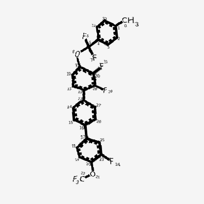 Cc1ccc(C(F)(F)Oc2ccc(-c3ccc(-c4ccc(OC(F)(F)F)c(F)c4)cc3)c(F)c2F)cc1